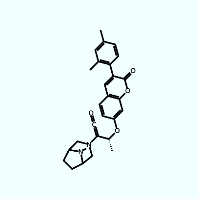 Cc1ccc(-c2cc3ccc(O[C@H](C)C(=C=O)N4CC5CCC(C4)N5C)cc3oc2=O)c(C)c1